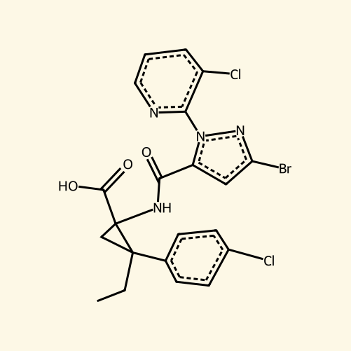 CCC1(c2ccc(Cl)cc2)CC1(NC(=O)c1cc(Br)nn1-c1ncccc1Cl)C(=O)O